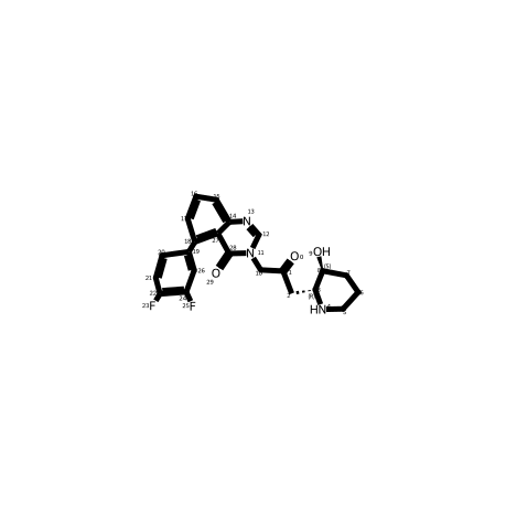 O=C(C[C@H]1NCCC[C@@H]1O)Cn1cnc2cccc(-c3ccc(F)c(F)c3)c2c1=O